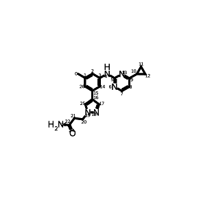 Cc1cc(Nc2nccc(C3CC3)n2)cc(-c2cnn(CCC(N)=O)c2)c1